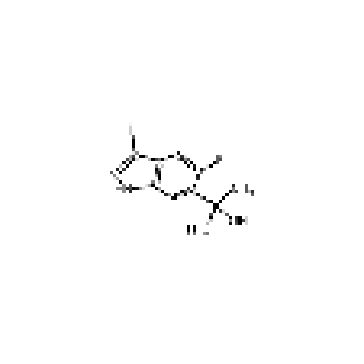 CC(C)(O)c1cc2[nH]nc(I)c2cc1F